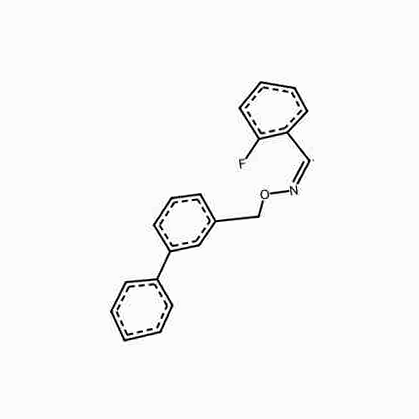 Fc1ccccc1/[C]=N\OCc1cccc(-c2ccccc2)c1